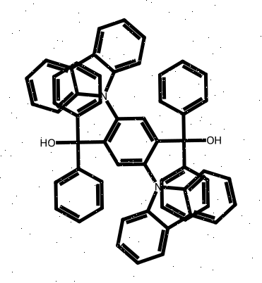 OC(c1ccccc1)(c1ccccc1)c1cc(-n2c3ccccc3c3ccccc32)c(C(O)(c2ccccc2)c2ccccc2)cc1-n1c2ccccc2c2ccccc21